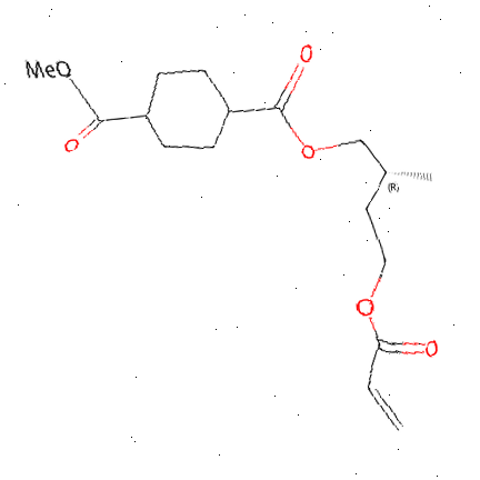 C=CC(=O)OCC[C@@H](C)COC(=O)C1CCC(C(=O)OC)CC1